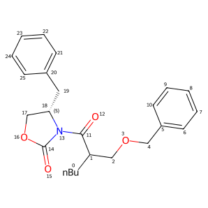 CCCCC(COCc1ccccc1)C(=O)N1C(=O)OC[C@@H]1Cc1ccccc1